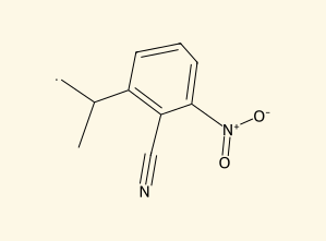 [CH2]C(C)c1cccc([N+](=O)[O-])c1C#N